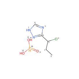 CCC(Cl)c1nc[nH]n1.O=[PH](O)O